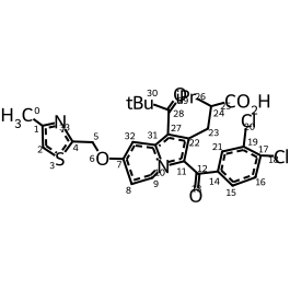 Cc1csc(COc2ccn3c(C(=O)c4ccc(Cl)c(Cl)c4)c(CC(C(=O)O)C(C)C)c(C(=O)C(C)(C)C)c3c2)n1